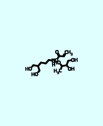 C=CC(=O)O.CC(O)C(O)CO.OCCCC(CO)CO